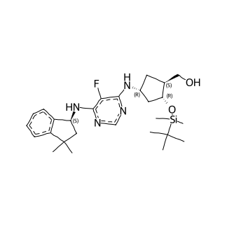 CC1(C)C[C@H](Nc2ncnc(N[C@@H]3C[C@@H](CO)[C@H](O[Si](C)(C)C(C)(C)C)C3)c2F)c2ccccc21